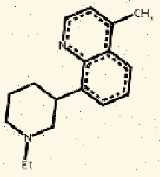 CCN1CCCC(c2cccc3c(C)ccnc23)C1